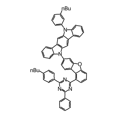 CCCCc1ccc(-c2nc(-c3ccccc3)nc(-c3cccc4oc5cc(-n6c7ccccc7c7cc8c(cc76)c6ccccc6n8-c6cccc(CCCC)c6)ccc5c34)n2)cc1